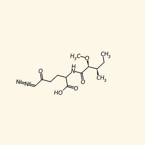 CC[C@@H](C)[C@H](OC)C(=O)NC(CCC(=O)C=[N+]=[N-])C(=O)O